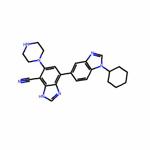 N#Cc1c(N2CCNCC2)cc(-c2ccc3c(c2)ncn3C2CCCCC2)c2nc[nH]c12